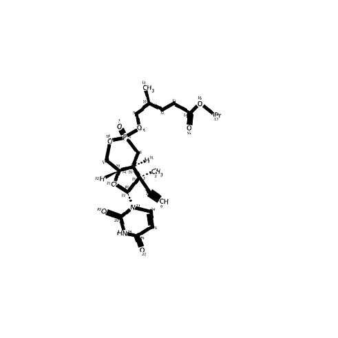 C#C[C@]1(C)[C@@H]2CP(=O)(OCC(C)CCC(=O)OC(C)C)OC[C@H]2O[C@H]1n1ccc(=O)[nH]c1=O